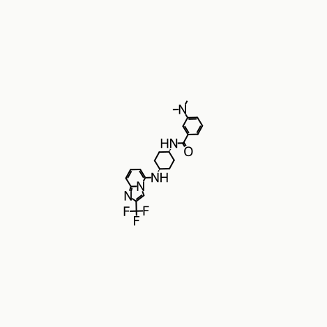 CN(C)c1cccc(C(=O)N[C@H]2CC[C@@H](Nc3cccc4nc(C(F)(F)F)cn34)CC2)c1